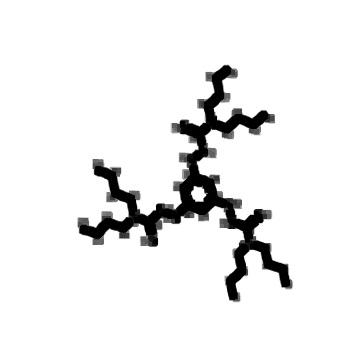 CCCCN(CCCC)C(=S)SSc1cc(SSC(=S)N(CCCC)CCCC)cc(SSC(=S)N(CCCC)CCCC)c1